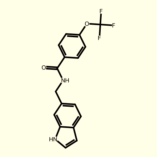 O=C(NCc1ccc2cc[nH]c2c1)c1ccc(OC(F)(F)F)cc1